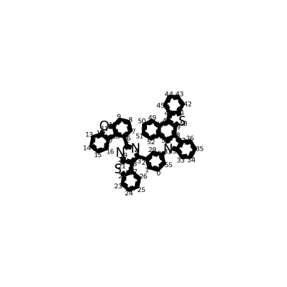 c1cc(-c2nc(-c3cccc4oc5ccccc5c34)nc3sc4ccccc4c23)cc(-n2c3ccccc3c3c4sc5ccccc5c4c4ccccc4c32)c1